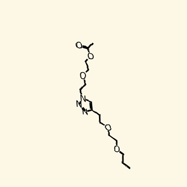 CCCOCCOCCc1cn(CCOCCOC(C)=O)nn1